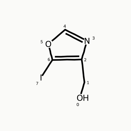 OCc1ncoc1I